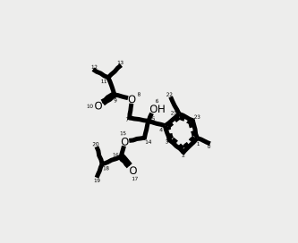 Cc1ccc(C(O)(COC(=O)C(C)C)COC(=O)C(C)C)c(C)c1